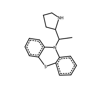 CC(C1CCCN1)N1c2ccccc2Sc2ccccc21